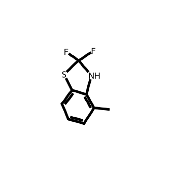 Cc1cccc2c1NC(F)(F)S2